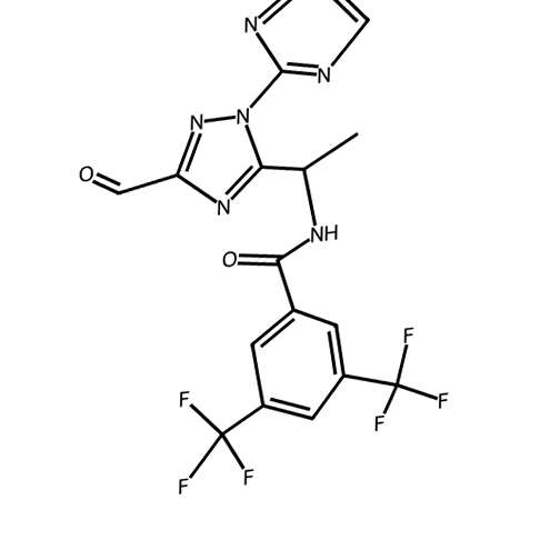 CC(NC(=O)c1cc(C(F)(F)F)cc(C(F)(F)F)c1)c1nc(C=O)nn1-c1ncccn1